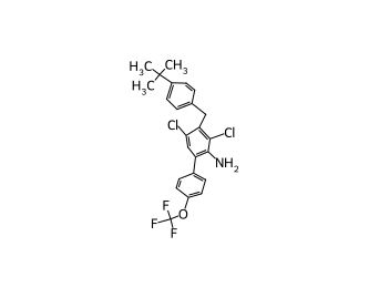 CC(C)(C)c1ccc(Cc2c(Cl)cc(-c3ccc(OC(F)(F)F)cc3)c(N)c2Cl)cc1